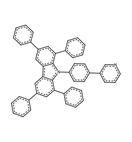 c1ccc(-c2cc(-c3ccccc3)c3c(c2)c2cc(-c4ccccc4)cc(-c4ccccc4)c2n3-c2ccc(-c3cccnc3)cc2)cc1